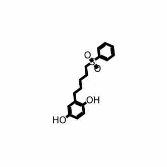 O=S(=O)(CCCCCc1cc(O)ccc1O)c1ccccc1